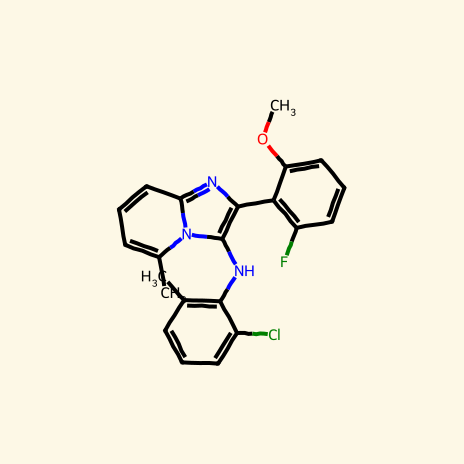 COc1cccc(F)c1-c1nc2cccc(C)n2c1Nc1c(C)cccc1Cl